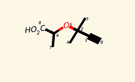 C#CC(C)(C)OC(C)C(=O)O